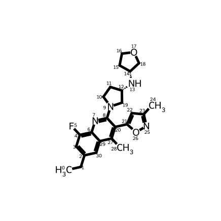 CCc1cc(F)c2nc(N3CC[C@H](N[C@@H]4CCOC4)C3)c(-c3cc(C)no3)c(C)c2c1